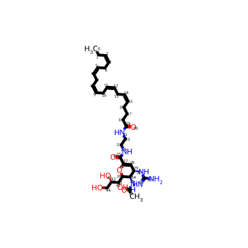 CC/C=C\C/C=C\C/C=C\C/C=C\C/C=C\CCCC(=O)NCCNC(=O)C1=C[C@@H](NC(=N)N)[C@@H](NC(C)=O)C([C@H](O)[C@H](O)CO)O1